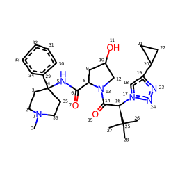 CN1CCC(NC(=O)C2CC(O)CN2C(=O)[C@@H](n2cc(C3CC3)nn2)C(C)(C)C)(c2ccccc2)CC1